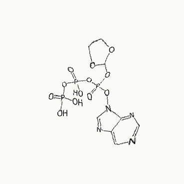 O=P(O)(O)OP(=O)(O)OP(=O)(OC1OCCO1)On1cnc2cncnc21